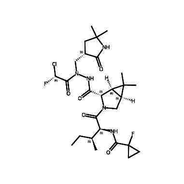 CC[C@H](C)[C@H](NC(=O)C1(F)CC1)C(=O)N1C[C@H]2[C@@H]([C@H]1C(=O)NN(C[C@@H]1CC(C)(C)NC1=O)C(=O)[C@H](F)Cl)C2(C)C